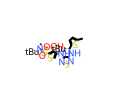 Cc1ccc([C@H](Nc2nsnc2Nc2csc(S(=O)(=O)N(C)C(C)(C)C)c2O)C(C)(C)C)s1